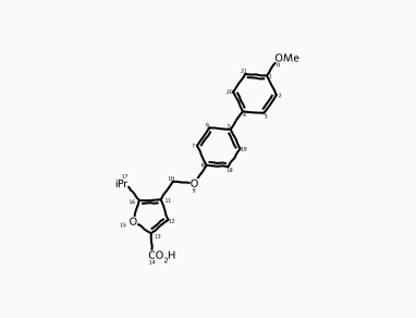 COc1ccc(-c2ccc(OCc3cc(C(=O)O)oc3C(C)C)cc2)cc1